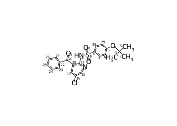 CC(C)(C)Oc1ccc(S(=O)(=O)Nc2ncc(Cl)cc2C(=O)c2ccccc2)cc1